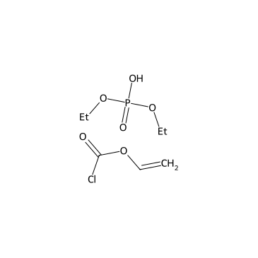 C=COC(=O)Cl.CCOP(=O)(O)OCC